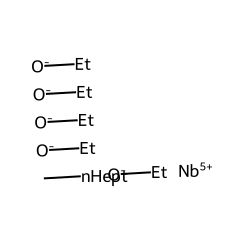 CCCCCCCC.CC[O-].CC[O-].CC[O-].CC[O-].CC[O-].[Nb+5]